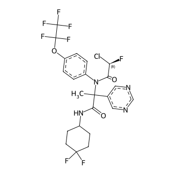 CC(C(=O)NC1CCC(F)(F)CC1)(c1cncnc1)N(C(=O)[C@H](F)Cl)c1ccc(OC(F)(F)C(F)(F)F)cc1